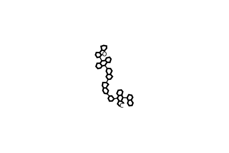 c1cc(-c2ccc3ccc(-c4ccc5ccc(-c6c7ccccc7c(-c7cccc8c7oc7ccccc78)c7ccccc67)cc5c4)cc3c2)cc(-c2c3ccccc3c(-c3cccc4ccccc34)c3ccccc23)c1